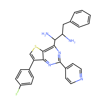 NC(Cc1ccccc1)C(N)c1nc(-c2ccncc2)nc2c(-c3ccc(F)cc3)csc12